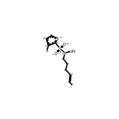 CC=CCCCN(CCC)S(=O)(=O)c1sccc1C